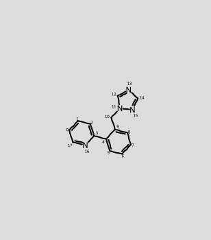 c1ccc(-c2ccccc2Cn2cncn2)nc1